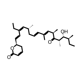 CCC(=C/[C@H](C)C/C=C/C(C)=C/[C@@H](C)C(=O)[C@@H](C)[C@H](O)[C@@H](C)CC)/C=C/[C@H]1CC=CC(=O)O1